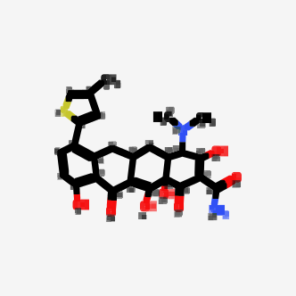 Cc1csc(-c2ccc(O)c3c2CC2CC4C(N(C)C)C(O)=C(C(N)=O)C(=O)C4(O)C(O)=C2C3=O)c1